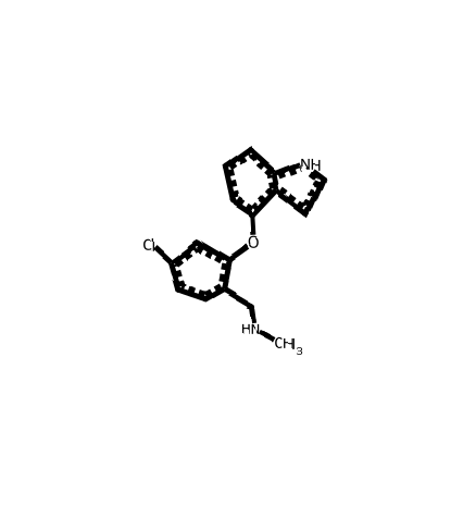 CNCc1ccc(Cl)cc1Oc1cccc2[nH]ccc12